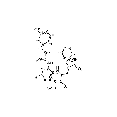 CCOC(=O)C(CC1CC2(CCCCC2)NC1=O)NC(=O)[C@H](CC(C)C)NC(=O)OCc1cccc(Cl)c1